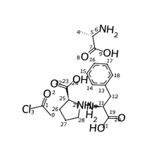 CC(=O)Cl.C[C@H](N)C(=O)O.N[C@@H](Cc1ccccc1)C(=O)O.O=C(O)[C@@H]1CCCN1